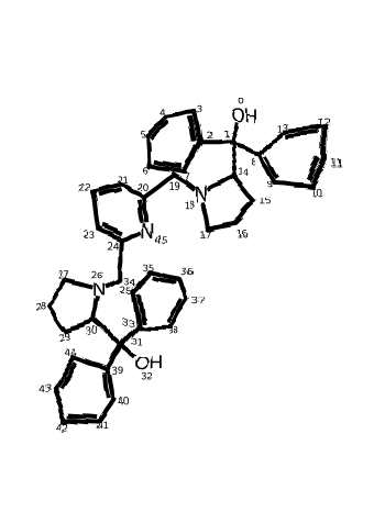 OC(c1ccccc1)(c1ccccc1)C1CCCN1Cc1cccc(CN2CCCC2C(O)(c2ccccc2)c2ccccc2)n1